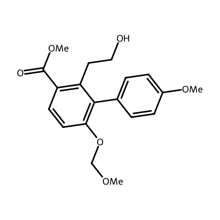 COCOc1ccc(C(=O)OC)c(CCO)c1-c1ccc(OC)cc1